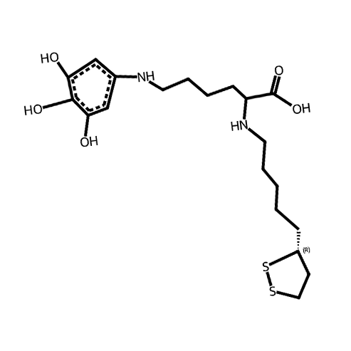 O=C(O)C(CCCCNc1cc(O)c(O)c(O)c1)NCCCCC[C@@H]1CCSS1